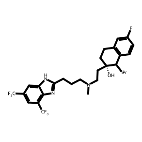 CC(C)C1c2ccc(F)cc2CC[C@]1(O)CCN(C)CCCc1nc2c(C(F)(F)F)cc(C(F)(F)F)cc2[nH]1